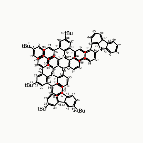 CC(C)(C)c1ccc(-c2cc3c4c(c2)N(c2c(-c5ccccc5)cc(C(C)(C)C)cc2-c2ccccc2)c2cc(C5c6ccc(C(C)(C)C)cc6-c6cc(C(C)(C)C)ccc65)ccc2B4c2ccc(-c4ccc5c(c4)c4cccc6c7ccccc7n5c64)cc2N3c2c(-c3ccccc3)cc(C(C)(C)C)cc2-c2ccccc2)cc1